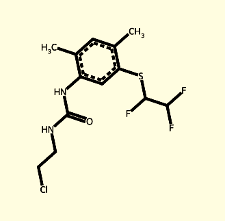 Cc1cc(C)c(SC(F)C(F)F)cc1NC(=O)NCCCl